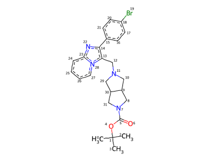 CC(C)(C)OC(=O)N1CC2CN(Cc3c(-c4ccc(Br)cc4)nc4ccccn34)CC2C1